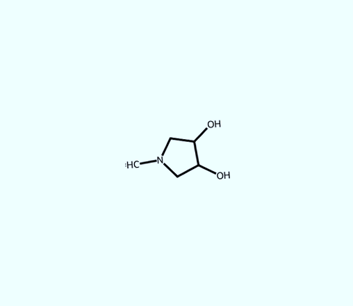 [CH]N1CC(O)C(O)C1